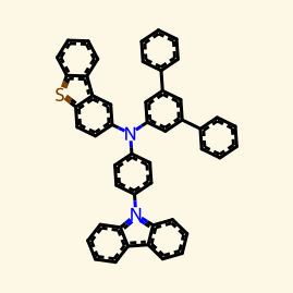 c1ccc(-c2cc(-c3ccccc3)cc(N(c3ccc(-n4c5ccccc5c5ccccc54)cc3)c3ccc4sc5ccccc5c4c3)c2)cc1